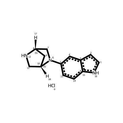 Cl.c1cc2cc(N3C[C@@H]4C[C@H]3CN4)ccc2[nH]1